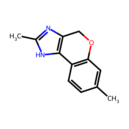 Cc1ccc2c(c1)OCc1nc(C)[nH]c1-2